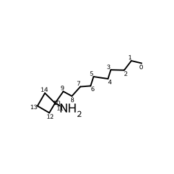 CCCCCCCCCCC1(N)CCC1